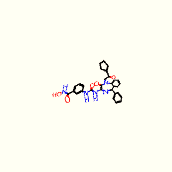 O=C(Nc1cccc(C(=O)NO)c1)NC1N=C(c2ccccc2)c2ccccc2N(CC(=O)C2CCCC2)C1=O